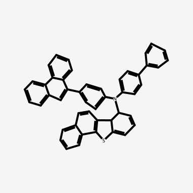 C1=CC(N(c2ccc(-c3ccccc3)cc2)c2ccc(-c3cc4ccccc4c4ccccc34)cc2)C2C(=C1)Sc1c2ccc2ccccc12